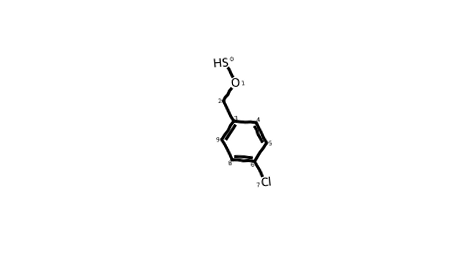 SOCc1ccc(Cl)cc1